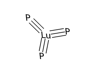 [P]#[Lu](#[P])#[P]